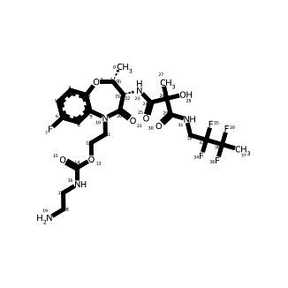 C[C@H]1Oc2ccc(F)cc2N(CCOC(=O)NCCN)C(=O)[C@H]1NC(=O)C(C)(O)C(=O)NCC(F)(F)C(C)(F)F